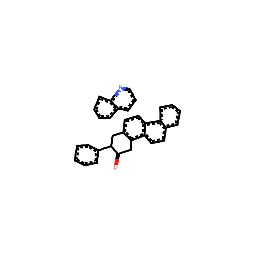 O=C1Cc2c(ccc3c2ccc2ccccc23)CC1c1ccccc1.c1ccc2ncccc2c1